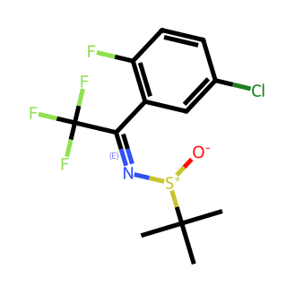 CC(C)(C)[S+]([O-])/N=C(\c1cc(Cl)ccc1F)C(F)(F)F